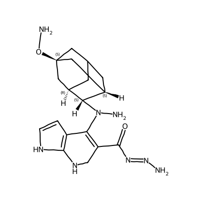 NN=NC(=O)C1=C(N(N)[C@@H]2[C@@H]3CC4C[C@H]2C[C@@](ON)(C4)C3)c2cc[nH]c2NC1